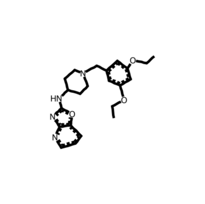 CCOc1cc(CN2CCC(Nc3nc4ncccc4o3)CC2)cc(OCC)c1